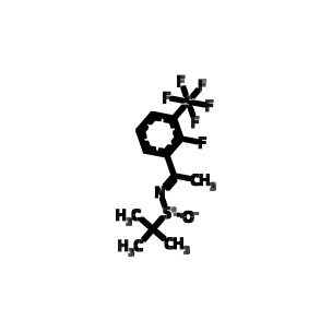 C/C(=N\[S@+]([O-])C(C)(C)C)c1cccc(S(F)(F)(F)(F)F)c1F